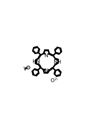 C1=Cc2nc1c(-c1ccccc1)c1ccc([nH]1)c(-c1ccccc1)c1nc(c(-c3ccccc3)c3ccc([nH]3)c2-c2ccccc2)C=C1.[O-2].[O]=[V+2]